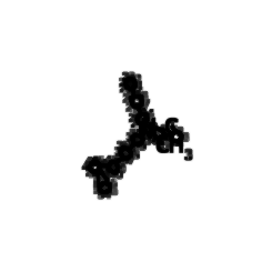 Cc1ccccc1-c1ccc(N(c2ccc(-c3ccc(-c4ccccc4)cc3)cc2)c2ccc(-c3ccc(-c4ccc5c(c4)c4ccccc4n5-c4ccccc4)cc3)cc2)cc1C